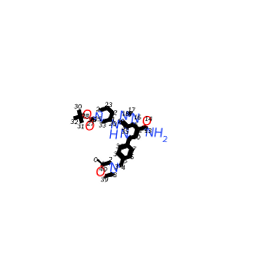 C[C@H]1CN(Cc2ccc(-c3cc(C(N)=O)c4ncnc(N[C@H]5CCCN(C(=O)OC(C)(C)C)C5)c4n3)cc2)CCO1